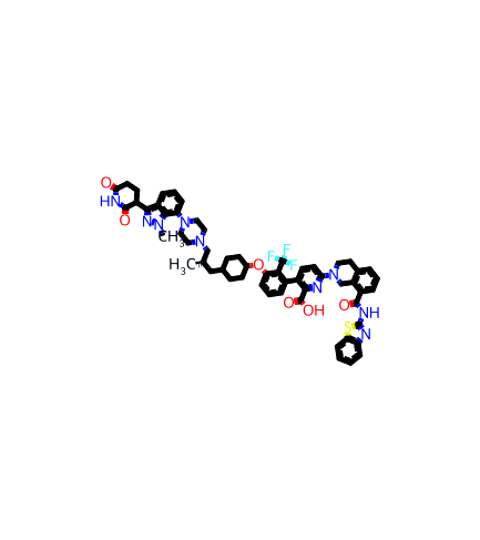 C[C@H](CC1CCC(Oc2cccc(-c3ccc(N4CCc5cccc(C(=O)Nc6nc7ccccc7s6)c5C4)nc3C(=O)O)c2C(F)(F)F)CC1)CN1CCN(c2cccc3c(C4CCC(=O)NC4=O)nn(C)c23)CC1